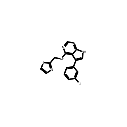 Clc1cccc(-c2c[nH]c3ncnc(NCc4nccs4)c23)c1